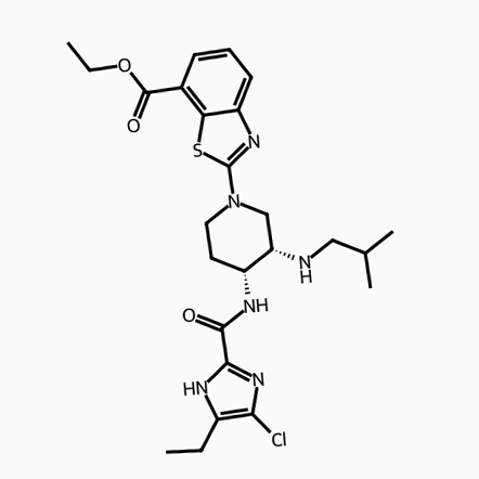 CCOC(=O)c1cccc2nc(N3CC[C@@H](NC(=O)c4nc(Cl)c(CC)[nH]4)[C@@H](NCC(C)C)C3)sc12